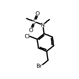 CN(c1ccc(CBr)cc1Cl)S(C)(=O)=O